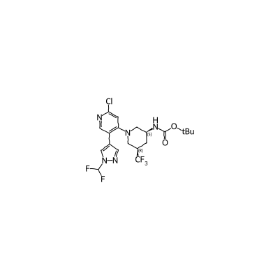 CC(C)(C)OC(=O)N[C@H]1C[C@@H](C(F)(F)F)CN(c2cc(Cl)ncc2-c2cnn(C(F)F)c2)C1